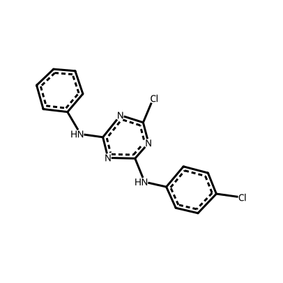 Clc1ccc(Nc2nc(Cl)nc(Nc3ccccc3)n2)cc1